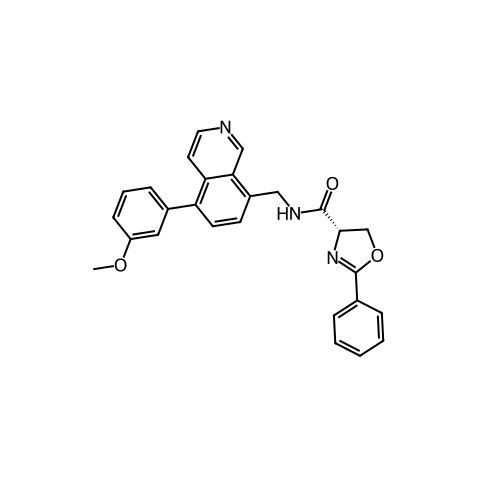 COc1cccc(-c2ccc(CNC(=O)[C@@H]3COC(c4ccccc4)=N3)c3cnccc23)c1